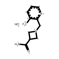 Cl.NC(=O)C1CN(Cc2ncccc2C(F)(F)F)C1